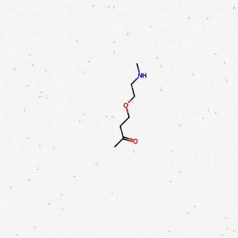 CNCCOCCC(C)=O